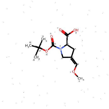 COC=C1CC(C(=O)O)N(C(=O)OC(C)(C)C)C1